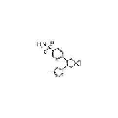 Cc1csc(C2=C(c3ccc(S(N)(=O)=O)cn3)CC3(CC3)C2)c1